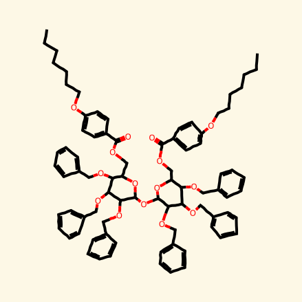 CCCCCCCOc1ccc(C(=O)OCC2OC(OC3OC(COC(=O)c4ccc(OCCCCCCC)cc4)C(OCc4ccccc4)C(OCc4ccccc4)C3OCc3ccccc3)C(OCc3ccccc3)C(OCc3ccccc3)C2OCc2ccccc2)cc1